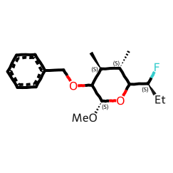 CC[C@H](F)C1O[C@H](OC)C(OCc2ccccc2)[C@@H](C)[C@@H]1C